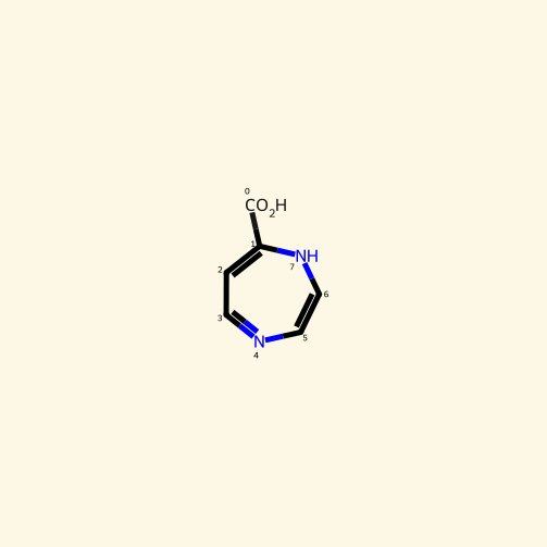 O=C(O)C1=CC=NC=CN1